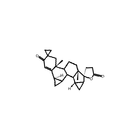 C[C@]12CC3(CC3)C(=O)C=C1[C@@H]1CC1C1C2CC[C@@]2(C)C1[C@H]1CC1[C@@]21CCC(=O)O1